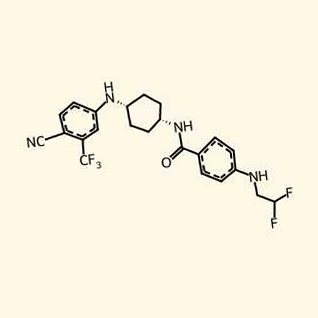 N#Cc1ccc(N[C@H]2CC[C@@H](NC(=O)c3ccc(NCC(F)F)cc3)CC2)cc1C(F)(F)F